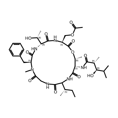 CC[C@H](C)C1NC(=O)[C@@H](NC(=O)[C@H](C)[C@H](O)C(C)C)[C@@H](C)OC(=O)[C@H](COC(C)=O)NC(=O)[C@@H]([C@@H](C)O)NC(=O)[C@H](Cc2ccccc2)N(C)C(=O)CNC1=O